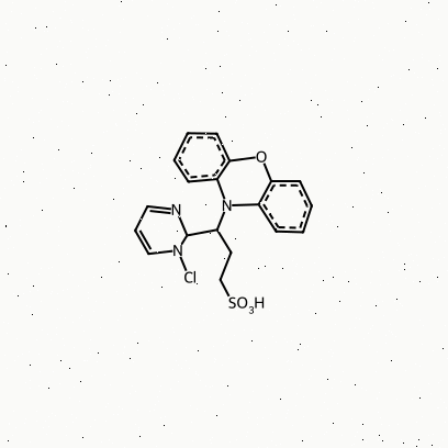 O=S(=O)(O)CCC(C1N=CC=CN1Cl)N1c2ccccc2Oc2ccccc21